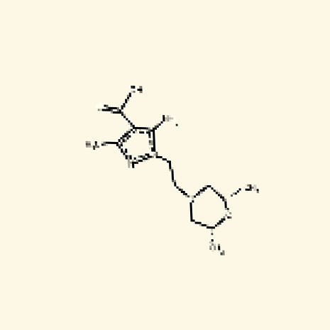 Cc1nn(CCN2C[C@@H](C)O[C@@H](C)C2)c(N)c1C(=O)O